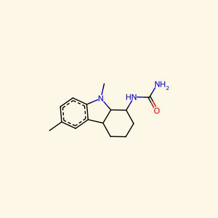 Cc1ccc2c(c1)C1CCCC(NC(N)=O)C1N2C